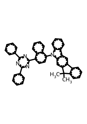 CC1(C)c2ccccc2-c2cc3c4ccccc4n(-c4ccc(-c5nc(-c6ccccc6)nc(-c6ccccc6)n5)c5ccccc45)c3cc21